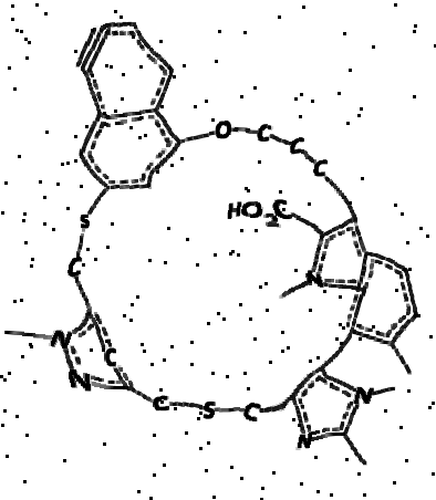 Cc1ccc2c3c(C(=O)O)n(C)c2c1-c1c(nc(C)n1C)CSCc1cc(n(C)n1)CSc1cc(c2ccc#cc2c1)OCCC3